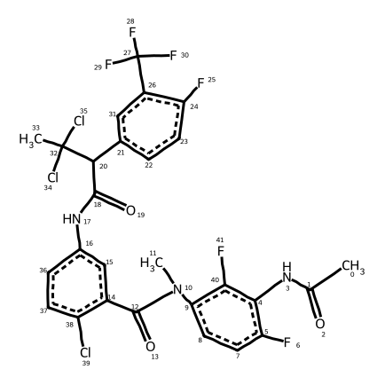 CC(=O)Nc1c(F)ccc(N(C)C(=O)c2cc(NC(=O)C(c3ccc(F)c(C(F)(F)F)c3)C(C)(Cl)Cl)ccc2Cl)c1F